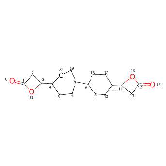 O=C1CC(C2CCC(C3CCC(C4CC(=O)O4)CC3)CC2)O1